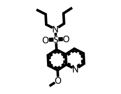 CCCN(CCC)S(=O)(=O)c1ccc(OC)c2ncccc12